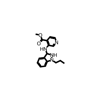 CCCN1NC(Nc2cnccc2C(=O)OC)c2ccccc21